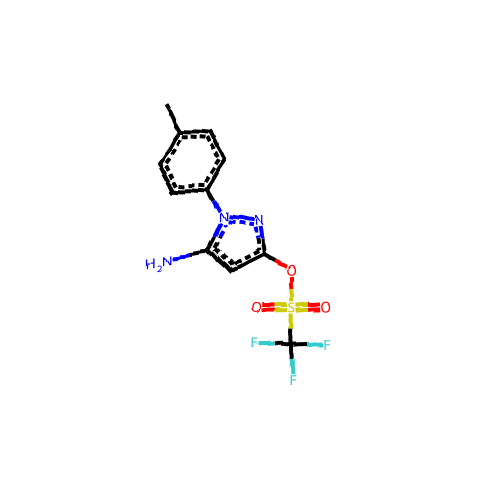 Cc1ccc(-n2nc(OS(=O)(=O)C(F)(F)F)cc2N)cc1